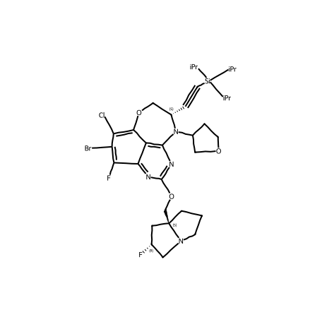 CC(C)[Si](C#C[C@H]1COc2c(Cl)c(Br)c(F)c3nc(OC[C@@]45CCCN4C[C@H](F)C5)nc(c23)N1C1CCOC1)(C(C)C)C(C)C